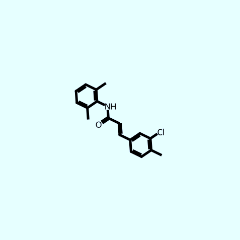 Cc1ccc(C=CC(=O)Nc2c(C)cccc2C)cc1Cl